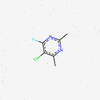 Cc1nc(C)c(Cl)c(F)n1